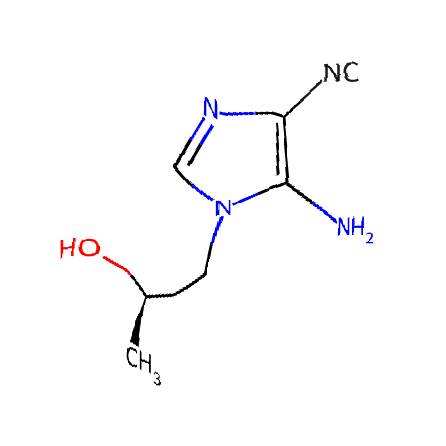 [C-]#[N+]c1ncn(C[C@@H](C)O)c1N